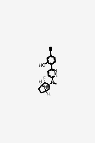 C#Cc1ccc(-c2ccc(N(C)[C@@H]3C[C@H]4CC[C@H](N4)[C@@H]3F)nn2)c(O)c1